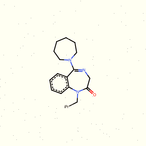 CC(C)CN1C(=O)CN=C(N2CCCCCC2)c2ccccc21